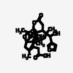 CC12OC34C5CC(=O)OC3C3(O)CC6(C)CC3(O1)C(C)(C6CC(=O)O)C4(CCC5(C)C(O)c1ccoc1)O2